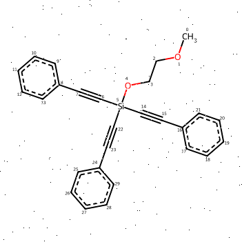 COCCO[Si](C#Cc1ccccc1)(C#Cc1ccccc1)C#Cc1ccccc1